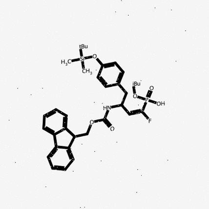 CCC(C)OP(=O)(O)C(F)=CC(Cc1ccc(O[Si](C)(C)C(C)(C)C)cc1)NC(=O)OCC1c2ccccc2-c2ccccc21